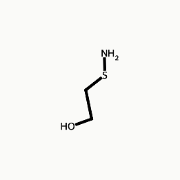 NSCCO